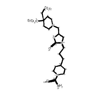 CCOC(=O)CC1(C(=O)OCC)CCN(CC2CN(CCCC3CCN(C(=N)N)CC3)C(=O)O2)CC1